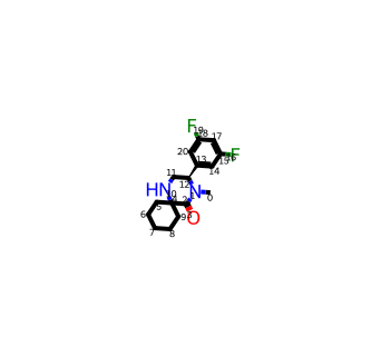 CN1C(=O)C2(CCCCC2)NC[C@H]1c1cc(F)cc(F)c1